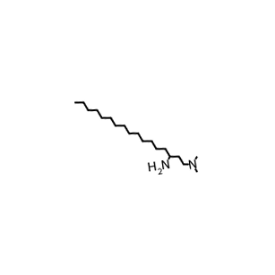 CCCCCCCCCCCCCCC(N)CCN(C)C